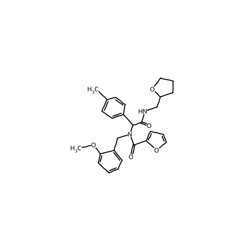 COc1ccccc1CN(C(=O)c1ccco1)C(C(=O)NCC1CCCO1)c1ccc(C)cc1